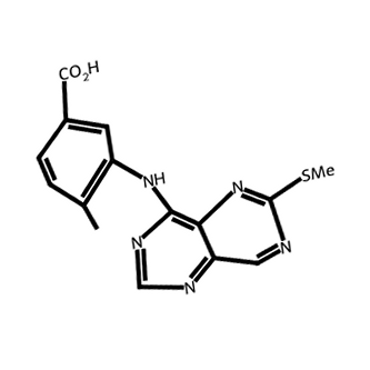 CSc1ncc2ncnc(Nc3cc(C(=O)O)ccc3C)c2n1